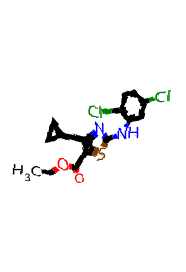 CCOC(=O)c1sc(Nc2cc(Cl)ccc2Cl)nc1C1CC1